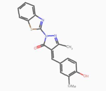 COc1cc(/C=C2/C(=O)N(c3nc4ccccc4s3)N=C2C)ccc1O